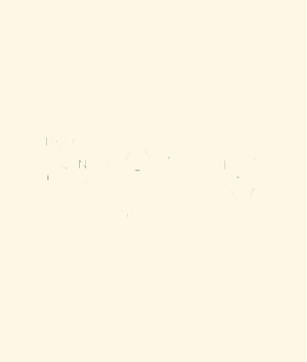 O=C(O)CCCc1c(/C=C/c2ccc(OCCCCOc3cccc(Cl)c3F)cc2)n(CC(=O)O)c2ccccc12